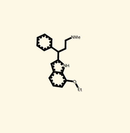 CCOc1cccc2cc(C(CCNC)c3ccccc3)[nH]c12